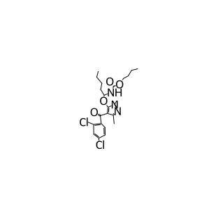 CCCCOC(=O)NC(CCCC)Oc1c(C(=O)c2ccc(Cl)cc2Cl)c(C)nn1C